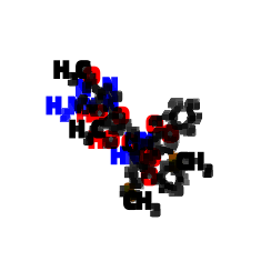 COc1nc(N)nc2c1ncn2[C@@H]1O[C@H](COP(=O)(N[C@@H](CCSC)C(=O)OC2CCCCC2)N[C@@H](CCSC)C(=O)OC2CCCCC2)[C@@H](O)[C@@]1(C)O